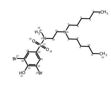 CCCCCCN(CCCCCC)CCN(C)S(=O)(=O)c1cc(Br)c(O)c(Br)c1